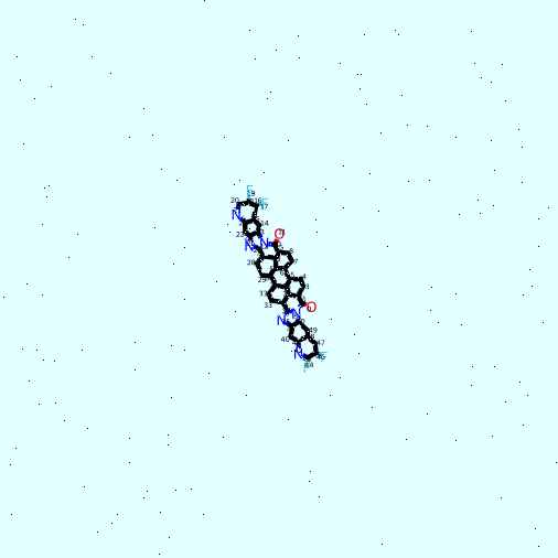 O=c1c2ccc3c4ccc5c(=O)n6c7cc8c(F)c(F)cnc8cc7nc6c6ccc(c7ccc(c2c37)c2nc3cc7nc(F)c(F)cc7cc3n12)c4c56